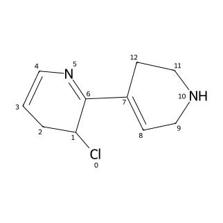 ClC1CC=CN=C1C1=CCNCC1